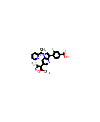 Cc1noc(C)c1-c1cnc2c(-c3ccc(C(=O)O)cc3F)cn([C@@H](C)c3ccccn3)c2c1